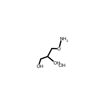 Cl.NOCC(O)CO